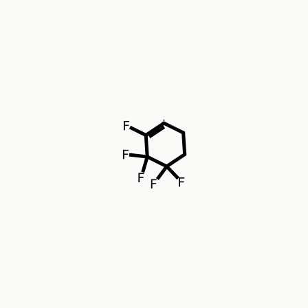 FC1=[C]CCC(F)(F)C1(F)F